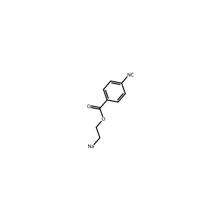 [C-]#[N+]c1ccc(C(=O)OC[CH2][Na])cc1